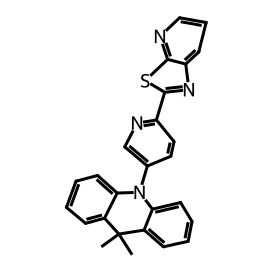 CC1(C)c2ccccc2N(c2ccc(-c3nc4cccnc4s3)nc2)c2ccccc21